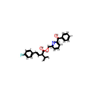 CC(C)C(C=Cc1ccc(F)cc1)C(=O)OCc1cccc(C(=O)c2ccccc2)n1